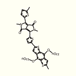 CCCCCCCCOc1c2cc(-c3ccc(C4=C5C(=O)N(C)C(c6ccc(C)s6)=C5C(=O)N4C)s3)sc2c(OCCCCCCCC)c2cc(C)sc12